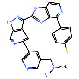 CN(C)Cc1cncc(-c2cc3c(-c4nc5c(-c6ccc(F)cc6)nccc5[nH]4)n[nH]c3cn2)c1